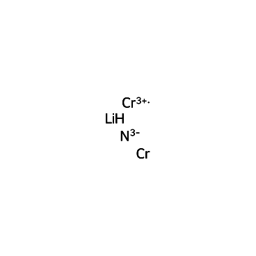 [Cr+3].[Cr].[LiH].[N-3]